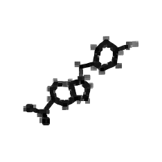 O=[N+]([O-])c1ccc2c(ccn2Cc2ccc(F)cc2)c1